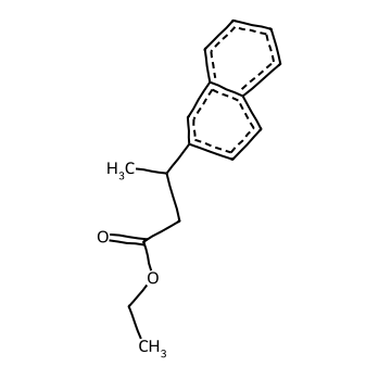 CCOC(=O)CC(C)c1ccc2ccccc2c1